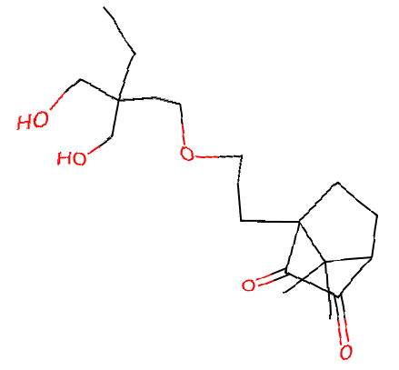 CCC(CO)(CO)COCCC12CCC(C(=O)C1=O)C2(C)C